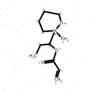 C=CC(=O)OC(CC)[Si]1(C)CCCCO1